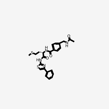 CSCC[C@H](NC(=O)c1ccc(CNC(C)=O)cc1)C(=O)Nc1nc(-c2ccccc2)cs1